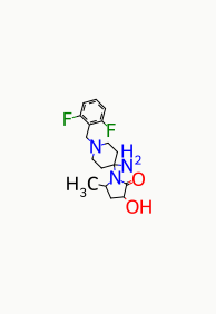 CC1CC(O)C(=O)N1C1(N)CCN(Cc2c(F)cccc2F)CC1